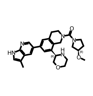 CO[C@@H]1CCN(C(=O)N2CCc3cc(-c4cnc5[nH]cc(C)c5c4)cc([C@@H]4COCCN4)c3C2)C1